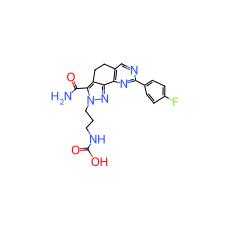 NC(=O)c1c2c(nn1CCCNC(=O)O)-c1nc(-c3ccc(F)cc3)ncc1CC2